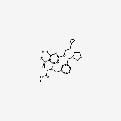 COC(=O)CN(Cc1cccc(CN2CCCC2)c1)c1nc(OCCC2CC2)nc(N)c1[N+](=O)[O-]